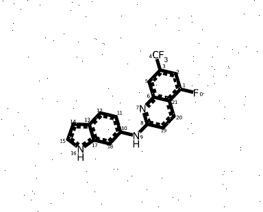 Fc1cc(C(F)(F)F)cc2nc(Nc3ccc4cc[nH]c4c3)ccc12